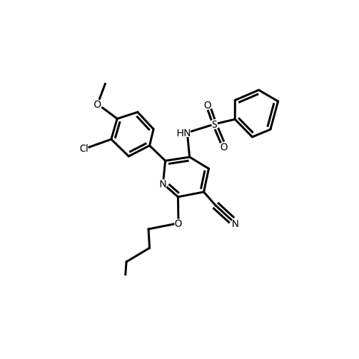 CCCCOc1nc(-c2ccc(OC)c(Cl)c2)c(NS(=O)(=O)c2ccccc2)cc1C#N